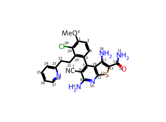 COc1ccc(-c2c(C#N)c(N)nc3sc(C(N)=O)c(N)c23)c(CCc2ccccn2)c1Cl